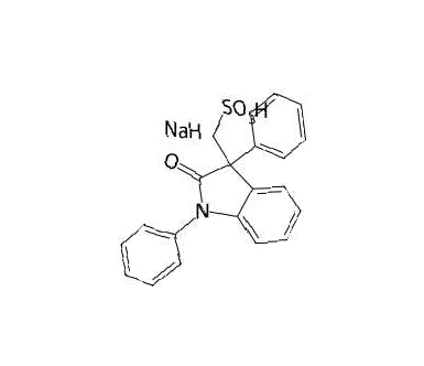 O=C1N(c2ccccc2)c2ccccc2C1(CS(=O)(=O)O)c1ccccc1.[NaH]